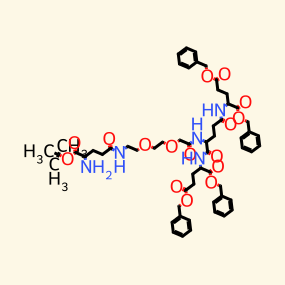 CC(C)(C)OC(=O)C(N)CCC(=O)NCCOCCOCC(=O)NC(CCC(=O)NC(CCC(=O)OCc1ccccc1)C(=O)OCc1ccccc1)C(=O)NC(CCC(=O)OCc1ccccc1)C(=O)OCc1ccccc1